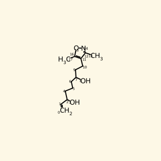 C=CC(O)CCCC(O)CCc1c(C)noc1C